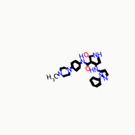 CN1CCN(c2ccc(NC(=O)c3c(Nc4ccnn4-c4ccccc4)cc[nH]c3=O)cc2)CC1